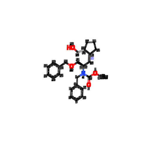 CC(C)(C)OC(=O)N(Cc1ccccc1)[C@H](/C=C1/CCC[C@H]1CO)COCc1ccccc1